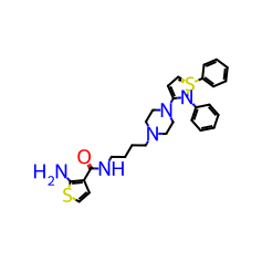 Nc1sccc1C(=O)NCCCCN1CCN(C2=CC=S(c3ccccc3)N2c2ccccc2)CC1